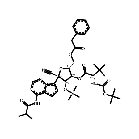 CC(C)C(=O)Nc1ncnn2c([C@]3(C#N)O[C@H](COC(=O)Cc4ccccc4)[C@@H](OC(=O)[C@@H](NC(=O)OC(C)(C)C)C(C)(C)C)[C@H]3O[Si](C)(C)C)ccc12